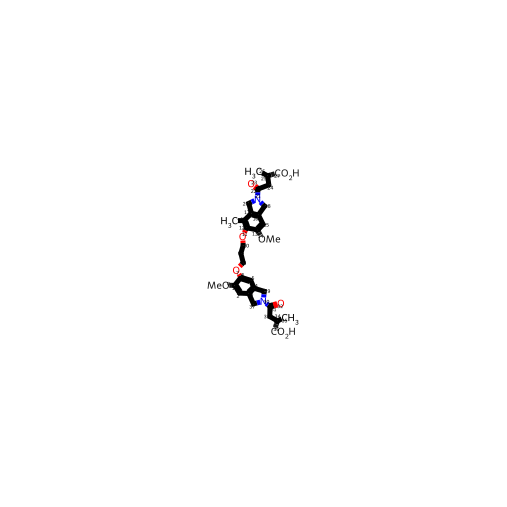 COc1cc2c(cc1OCCCOc1c(OC)cc3c(c1C)CN(C(=O)CC(C)C(=O)O)C3)CN(C(=O)CC(C)C(=O)O)C2